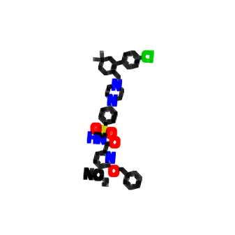 CC1(C)CCC(CN2CCN(c3ccc(S(=O)(=O)NC(=O)c4ccc([N+](=O)[O-])c(OCc5ccccc5)n4)cc3)CC2)=C(c2ccc(Cl)cc2)C1